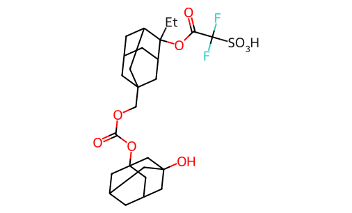 CCC1(OC(=O)C(F)(F)S(=O)(=O)O)C2CC3CC1CC(COC(=O)OC14CC5CC(CC(O)(C5)C1)C4)(C3)C2